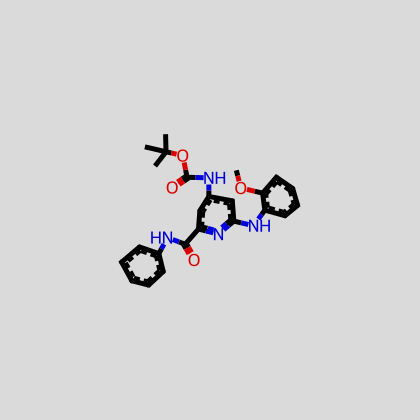 COc1ccccc1Nc1cc(NC(=O)OC(C)(C)C)cc(C(=O)Nc2ccccc2)n1